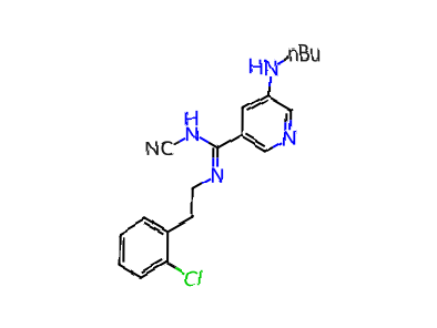 CCCCNc1cncc(/C(=N/CCc2ccccc2Cl)NC#N)c1